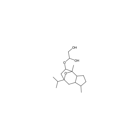 CC1CCC2C1CC1(C(C)C)CC(OC(O)CO)C2(C)O1